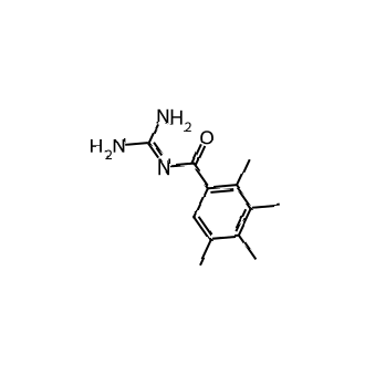 Cc1cc(C(=O)N=C(N)N)c(C)c(C)c1C